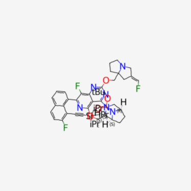 CC(C)[Si](C#Cc1c(F)ccc2cccc(-c3nc4c5c(nc(OCC67CCCN6CC(=CF)C7)nc5c3F)N3C[C@H]5CC[C@@H]([C@H]3[C@H](C)O4)N5C(=O)OC(C)(C)C)c12)(C(C)C)C(C)C